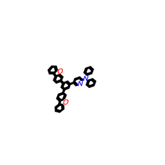 c1ccc(N(c2ccccc2)c2ccc(-c3cc(-c4ccc5c(c4)oc4ccccc45)cc(-c4ccc5c(c4)oc4ccccc45)c3)cn2)cc1